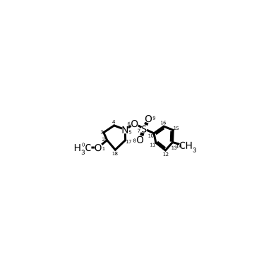 COC1CCN(OS(=O)(=O)c2ccc(C)cc2)CC1